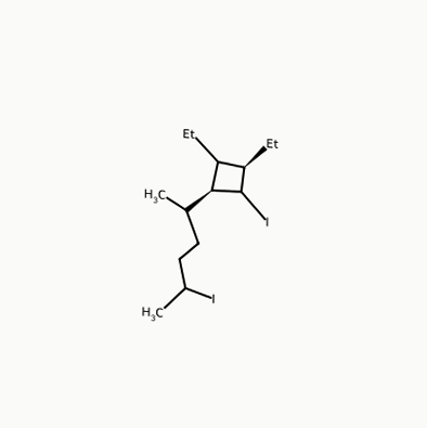 CCC1[C@@H](CC)C(I)[C@H]1C(C)CCC(C)I